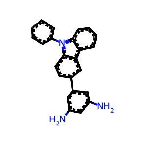 Nc1cc(N)cc(-c2ccc3c(c2)c2ccccc2n3-c2ccccc2)c1